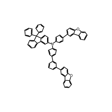 c1ccc(C2(c3ccccc3)c3ccccc3-c3cc(N(c4ccc(-c5cccc(-c6ccc7oc8ccccc8c7c6)c5)cc4)c4ccc(-c5ccc6oc7ccccc7c6c5)cc4)ccc32)cc1